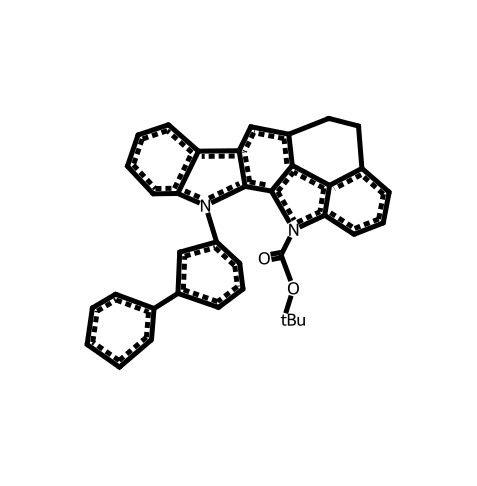 CC(C)(C)OC(=O)n1c2cccc3c2c2c(cc4c5ccccc5n(-c5cccc(-c6ccccc6)c5)c4c21)CC3